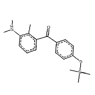 Cc1c(C(=O)c2ccc(O[Si](C)(C)C)cc2)cccc1[SiH](C)C